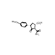 COc1ccc([C@@H]2C[C@H](C(=O)O)N(C(N)=O)C2=O)cc1